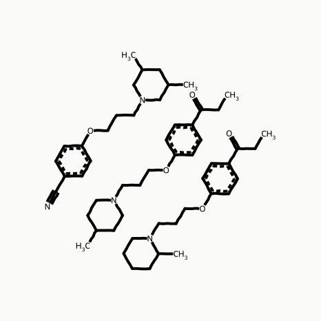 CC1CC(C)CN(CCCOc2ccc(C#N)cc2)C1.CCC(=O)c1ccc(OCCCN2CCC(C)CC2)cc1.CCC(=O)c1ccc(OCCCN2CCCCC2C)cc1